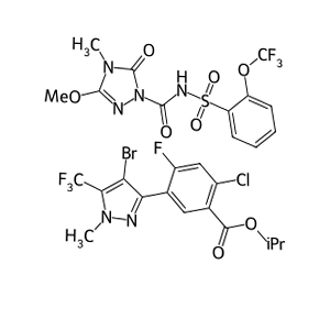 CC(C)OC(=O)c1cc(-c2nn(C)c(C(F)(F)F)c2Br)c(F)cc1Cl.COc1nn(C(=O)NS(=O)(=O)c2ccccc2OC(F)(F)F)c(=O)n1C